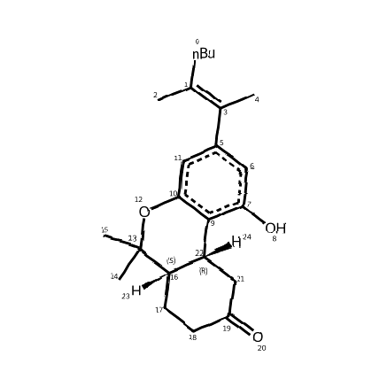 CCCCC(C)=C(C)c1cc(O)c2c(c1)OC(C)(C)[C@H]1CCC(=O)C[C@@H]21